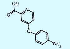 Nc1ccc(Oc2ccnc(C(=O)O)c2)cc1